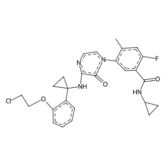 Cc1cc(F)c(C(=O)NC2CC2)cc1-n1ccnc(NC2(c3ccccc3OCCCl)CC2)c1=O